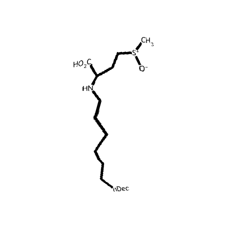 CCCCCCCCCCCCCCCCNC(CC[S+](C)[O-])C(=O)O